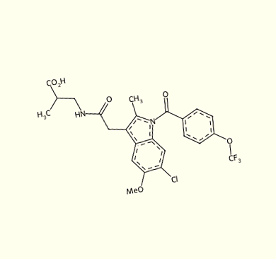 COc1cc2c(CC(=O)NCC(C)C(=O)O)c(C)n(C(=O)c3ccc(OC(F)(F)F)cc3)c2cc1Cl